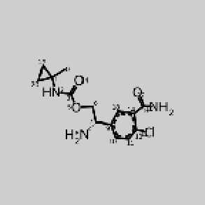 CC1(NC(=O)OC[C@@H](N)c2ccc(Cl)c(C(N)=O)c2)CC1